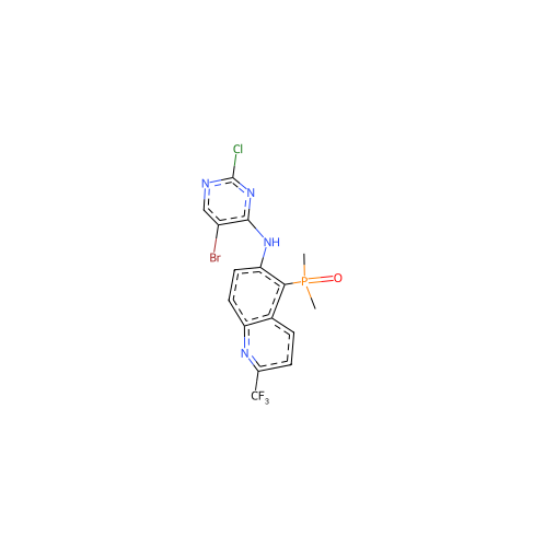 CP(C)(=O)c1c(Nc2nc(Cl)ncc2Br)ccc2nc(C(F)(F)F)ccc12